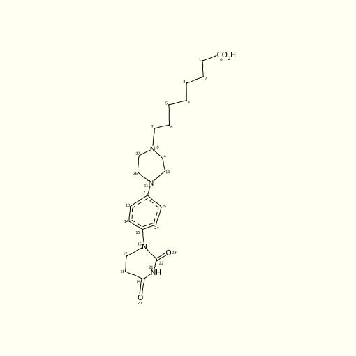 O=C(O)CCCCCCCN1CCN(c2ccc(N3CCC(=O)NC3=O)cc2)CC1